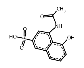 CC(=O)Nc1cc(S(=O)(=O)O)cc2cccc(O)c12